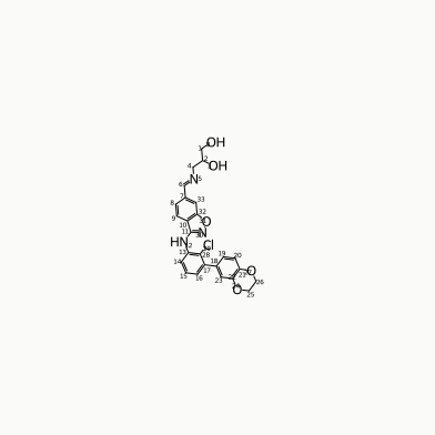 OCC(O)CN=Cc1ccc2c(Nc3cccc(-c4ccc5c(c4)OCCO5)c3Cl)noc2c1